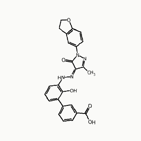 CC1=NN(c2ccc3c(c2)CCO3)C(=O)C1=NNc1cccc(-c2cccc(C(=O)O)c2)c1O